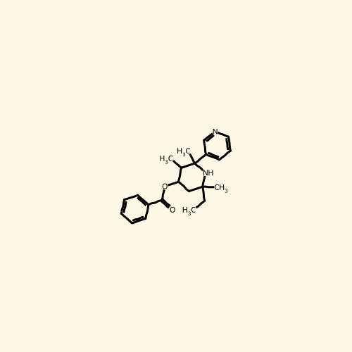 CCC1(C)CC(OC(=O)c2ccccc2)C(C)C(C)(c2cccnc2)N1